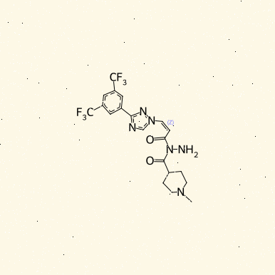 CN1CCC(C(=O)N(N)C(=O)/C=C\n2cnc(-c3cc(C(F)(F)F)cc(C(F)(F)F)c3)n2)CC1